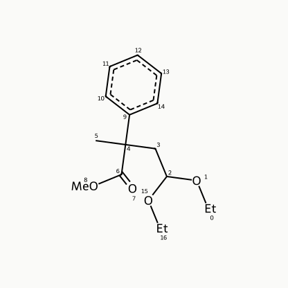 CCOC(CC(C)(C(=O)OC)c1ccccc1)OCC